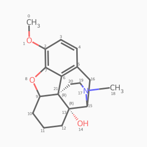 COc1ccc2c3c1OC1CCC[C@]4(O)C(C2)N(C)CC[C@@]314